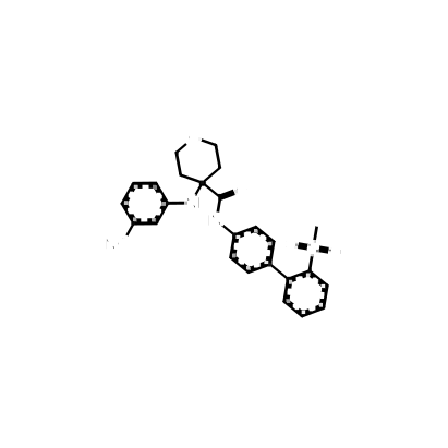 CS(=O)(=O)c1ccccc1-c1ccc(NC(=O)C2(Nc3cccc(C#N)c3)CCOCC2)cc1